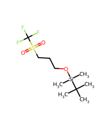 CC(C)(C)[Si](C)(C)OCCCS(=O)(=O)C(F)(F)F